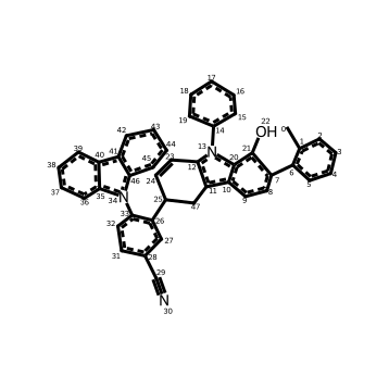 Cc1ccccc1-c1ccc2c3c(n(-c4ccccc4)c2c1O)C=CC(c1cc(C#N)ccc1-n1c2ccccc2c2ccccc21)C3